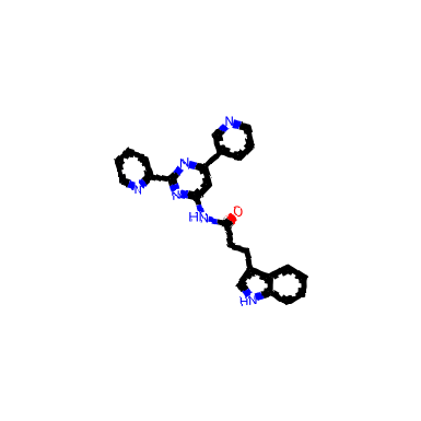 O=C(CCc1c[nH]c2ccccc12)Nc1cc(-c2cccnc2)nc(-c2ccccn2)n1